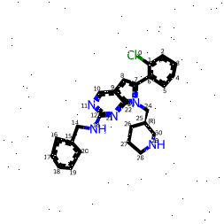 Clc1ccccc1-c1cc2cnc(NCc3ccccc3)nc2n1C[C@@H]1CCCNC1